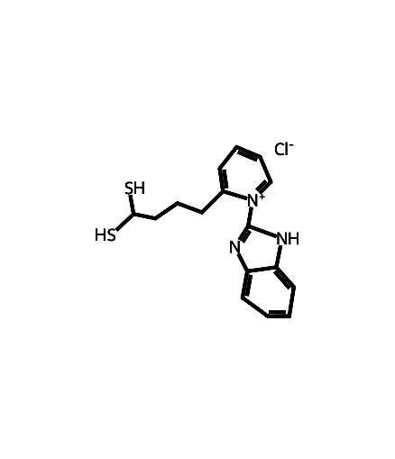 SC(S)CCCc1cccc[n+]1-c1nc2ccccc2[nH]1.[Cl-]